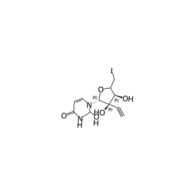 C#C[C@@]1(O)[C@H](O)C(CI)O[C@H]1N1C=CC(=O)NC1O